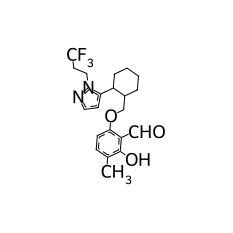 Cc1ccc(OCC2CCCCC2c2ccnn2CCC(F)(F)F)c(C=O)c1O